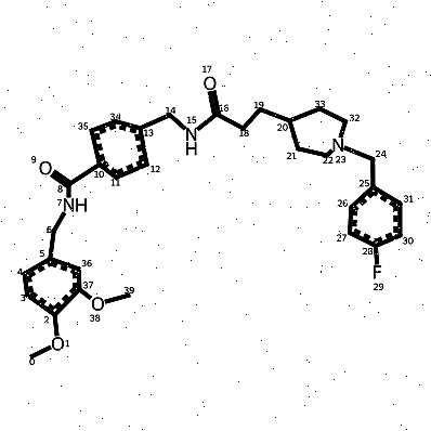 COc1ccc(CNC(=O)c2ccc(CNC(=O)CCC3CCN(Cc4ccc(F)cc4)CC3)cc2)cc1OC